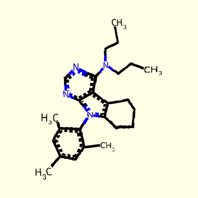 CCCN(CCC)c1ncnc2c1c1c(n2-c2c(C)cc(C)cc2C)CCCC1